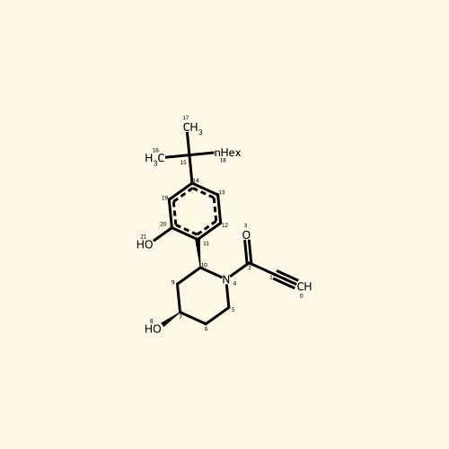 C#CC(=O)N1CC[C@@H](O)C[C@H]1c1ccc(C(C)(C)CCCCCC)cc1O